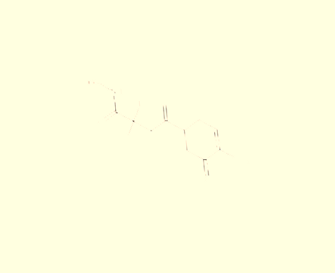 C=C(CC(F)(F)C(=O)NCCCC)C1CC=C(C)C(=O)C1